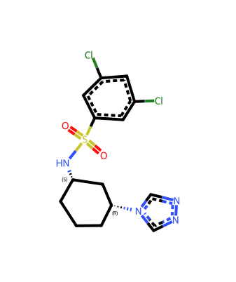 O=S(=O)(N[C@H]1CCC[C@@H](n2cnnc2)C1)c1cc(Cl)cc(Cl)c1